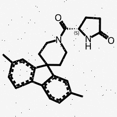 Cc1ccc2c(c1)C1(CCN(C(=O)[C@@H]3CCC(=O)N3)CC1)c1cc(C)ccc1-2